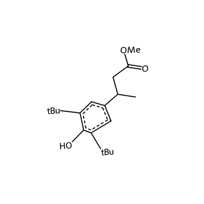 COC(=O)CC(C)c1cc(C(C)(C)C)c(O)c(C(C)(C)C)c1